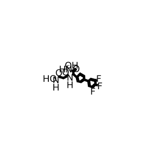 O=C(CC(=O)NC(C(=O)NO)c1ccc(-c2cc(F)c(F)c(F)c2)cc1)NO